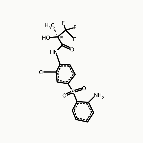 C[C@@](O)(C(=O)Nc1ccc(S(=O)(=O)c2ccccc2N)cc1Cl)C(F)(F)F